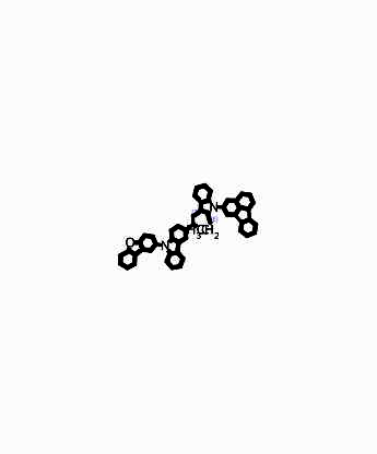 C=C(/C=c1\c(=C/C)n(-c2cc3c4c(cccc4c2)-c2ccccc2-3)c2ccccc12)c1ccc2c(c1)c1ccccc1n2-c1ccc2oc3ccccc3c2c1